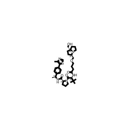 Cc1ncsc1-c1ccc([C@H](C)NC(=O)[C@@H]2CCCN2C(=O)[C@@H](NC(=O)CCCOC[C@H]2CC[C@@]3(CO)CCCN23)C(C)(C)C)cc1